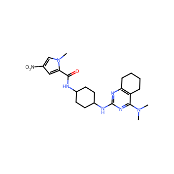 CN(C)c1nc(NC2CCC(NC(=O)c3cc([N+](=O)[O-])cn3C)CC2)nc2c1CCCC2